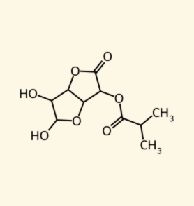 CC(C)C(=O)OC1C(=O)OC2C(O)C(O)OC12